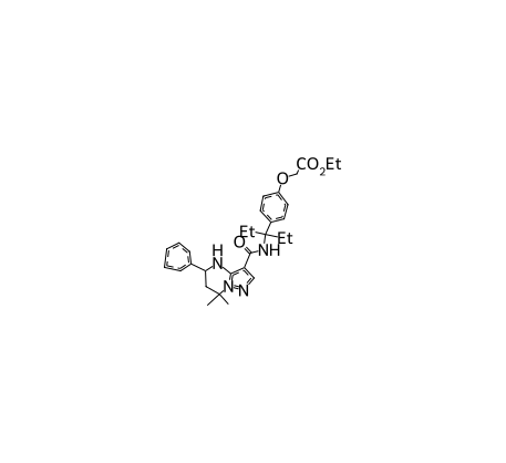 CCOC(=O)COc1ccc(C(CC)(CC)NC(=O)c2cnn3c2NC(c2ccccc2)CC3(C)C)cc1